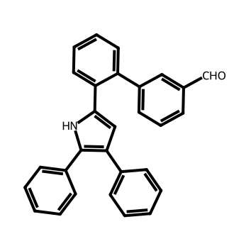 O=Cc1cccc(-c2ccccc2-c2cc(-c3ccccc3)c(-c3ccccc3)[nH]2)c1